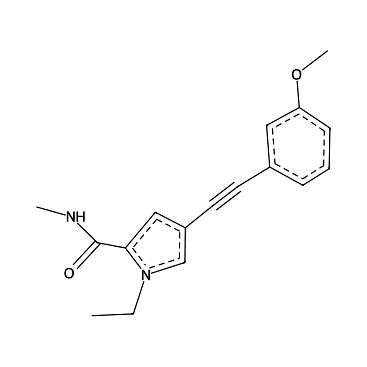 CCn1cc(C#Cc2cccc(OC)c2)cc1C(=O)NC